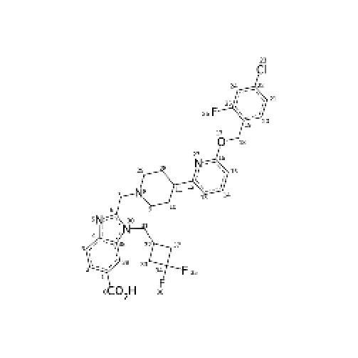 O=C(O)c1ccc2nc(CN3CCC(c4cccc(OCc5ccc(Cl)cc5F)n4)CC3)n(CC3CC(F)(F)C3)c2c1